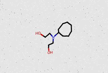 OCCN(CCO)C1CCCCCCC1